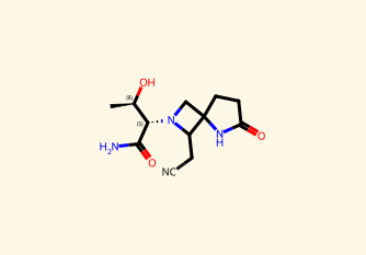 C[C@@H](O)[C@@H](C(N)=O)N1CC2(CCC(=O)N2)C1CC#N